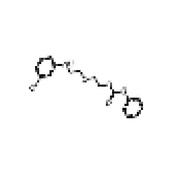 O=C(OCCOCCNc1cccc(Cl)c1)Oc1ccccc1